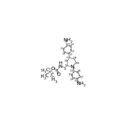 CC(C)(C)OC(=O)NCC1CC(c2ccc(N)cc2)CCN1c1ccc(N)cc1